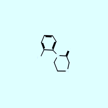 CC(C)c1ccccc1N1CCNCC1=O